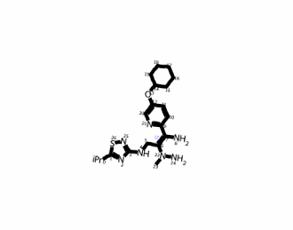 CC(C)c1nc(NC/C(=C(/N)c2ccc(OC3CCCCC3)cn2)N(C)N)ns1